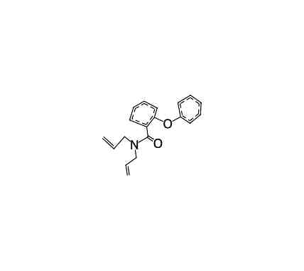 C=CCN(CC=C)C(=O)c1ccccc1Oc1ccccc1